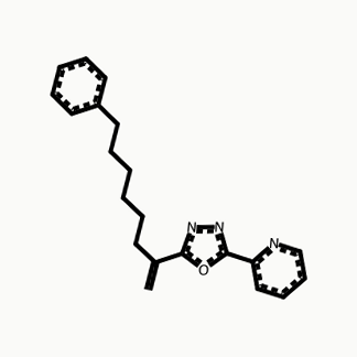 C=C(CCCCCCc1ccccc1)c1nnc(-c2ccccn2)o1